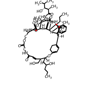 CCCC(O)C[C@H]1OC2=CC=C(CC2)[C@@H]2NC(=O)[C@@H]([C@@H](C)CC)NC(=O)[C@@H](NC(=O)[C@H](C)[C@H](O)C(C)C)[C@@H](C)OC(=O)[C@H](COC(=O)CNC(=O)/C=C/[C@@H]1CO)NC(=O)[C@@H]([C@@H](C)O)NC(=O)[C@H](Cc1ccccc1)N(C)C2=O